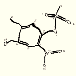 Cc1cc(OS(C)(=O)=O)c([N+](=O)[O-])cc1Cl